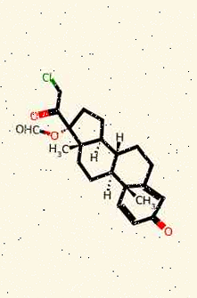 C[C@]12C=CC(=O)C=C1CC[C@@H]1[C@@H]2CC[C@@]2(C)[C@H]1CC[C@]2(OC=O)C(=O)CCl